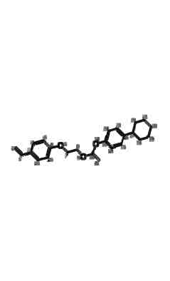 C=Cc1ccc(OCCOC(C)Oc2ccc(C3CCCCC3)cc2)cc1